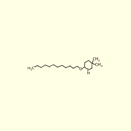 CCCCCCCCCCCCOC1CCC(C)(C)CP1